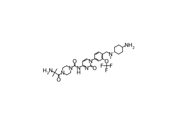 CN(Cc1ccc(-n2ccc(NC(=O)N3CCN(C(=O)C(C)(C)N)CC3)nc2=O)cc1OC(F)(F)F)[C@H]1CC[C@H](N)CC1